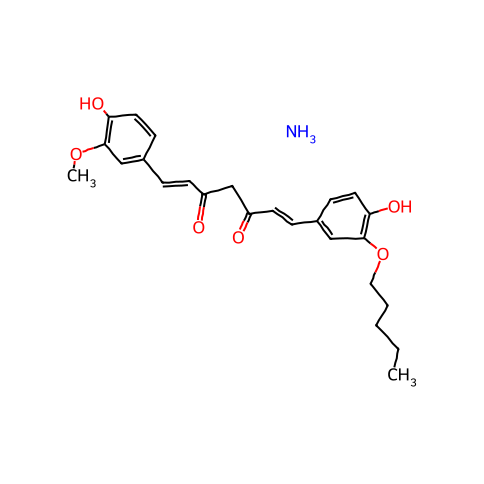 CCCCCOc1cc(/C=C/C(=O)CC(=O)/C=C/c2ccc(O)c(OC)c2)ccc1O.N